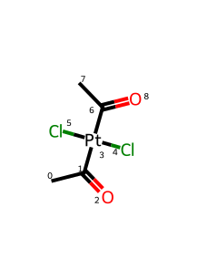 C[C](=O)[Pt]([Cl])([Cl])[C](C)=O